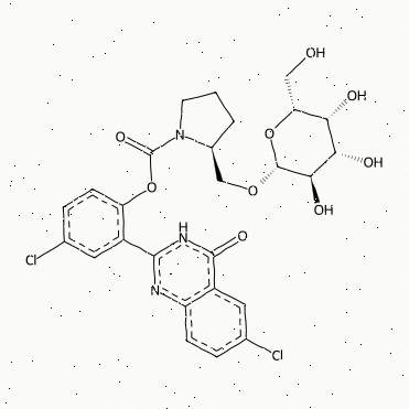 O=C(Oc1ccc(Cl)cc1-c1nc2ccc(Cl)cc2c(=O)[nH]1)N1CCC[C@H]1CO[C@@H]1O[C@H](CO)[C@H](O)[C@H](O)[C@H]1O